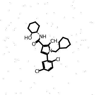 Cc1c(C(=O)N[C@H]2CCCC[C@@H]2O)cc(-c2cc(Cl)ccc2Cl)n1CC1CCCCC1